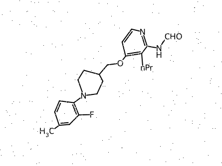 CCCc1c(OCC2CCN(c3ccc(C)cc3F)CC2)ccnc1NC=O